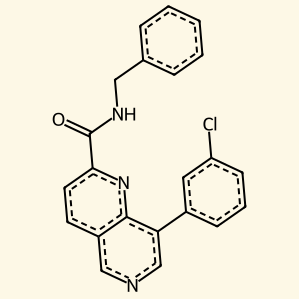 O=C(NCc1ccccc1)c1ccc2cncc(-c3cccc(Cl)c3)c2n1